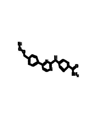 CCOOCc1ccc(-c2ccnc(Nc3ccc(C(N)=O)cc3)n2)cc1